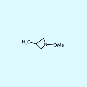 CON1CC(C)C1